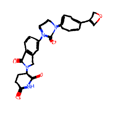 O=C1CCC(N2Cc3cc(N4CCN(c5ccc(C6COC6)cc5)C4=O)ccc3C2=O)C(=O)N1